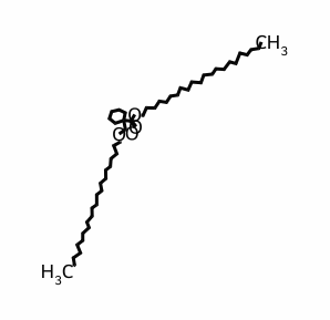 CCCCCCCCCCCCCCCCCCCCCCOC(=O)C1(C(=O)OCCCCCCCCCCCCCCCCCCCCCC)CCCCC1